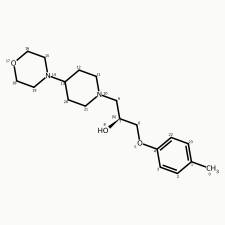 Cc1ccc(OC[C@@H](O)CN2CCC(N3CCOCC3)CC2)cc1